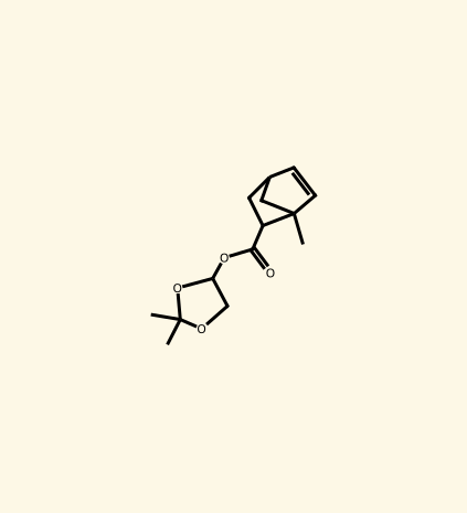 CC1(C)OCC(OC(=O)C2CC3C=CC2(C)C3)O1